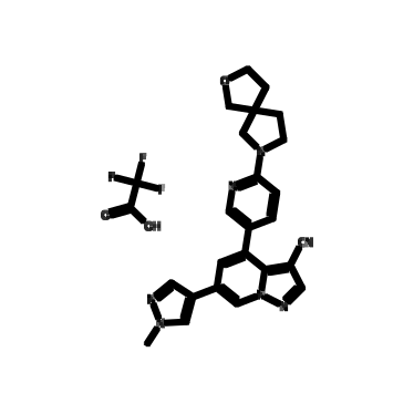 Cn1cc(-c2cc(-c3ccc(N4CCC5(CCOC5)C4)nc3)c3c(C#N)cnn3c2)cn1.O=C(O)C(F)(F)F